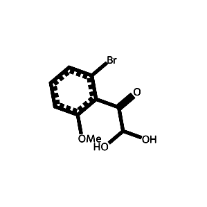 COc1cccc(Br)c1C(=O)C(O)O